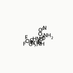 CN1CC(Oc2ccc(C(=O)Nc3n[nH]c4c3CN(S(=O)(=O)c3cc(F)cc(F)c3)CC4(C)C)c(C(N)=O)c2)C1